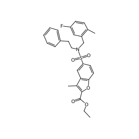 CCOC(=O)c1oc2ccc(S(=O)(=O)N(CCc3ccccc3)Cc3cc(F)ccc3C)cc2c1C